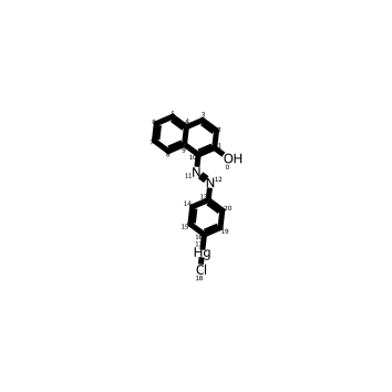 Oc1ccc2ccccc2c1/N=N/c1cc[c]([Hg][Cl])cc1